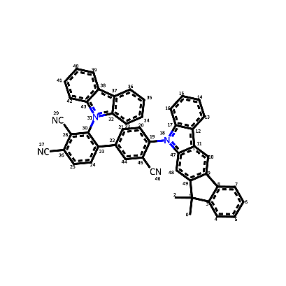 CC1(C)c2ccccc2-c2cc3c4ccccc4n(-c4ccc(-c5ccc(C#N)c(C#N)c5-n5c6ccccc6c6ccccc65)cc4C#N)c3cc21